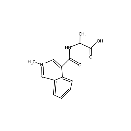 CC(NC(=O)c1c[n+](C)nc2ccccc12)C(=O)O